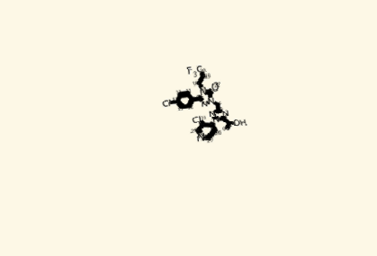 CC(O)c1nc(Cn2nc(-c3ccc(Cl)cc3)n(CCC(F)(F)F)c2=O)nn1-c1ccncc1Cl